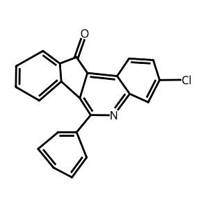 O=C1c2ccccc2-c2c(-c3ccccc3)nc3cc(Cl)ccc3c21